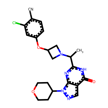 CC(c1nc2c(cnn2C2CCOCC2)c(=O)[nH]1)N1CC(Oc2ccc(C#N)c(Cl)c2)C1